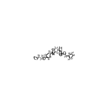 O=C(NC1CCc2sc(-c3ccc(OCCCCl)cc3)nc2C1)OCc1ccccc1